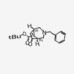 CC(C)(C)OC(=O)N1[C@@H]2CC(=O)[C@H]1CN(Cc1ccccc1)C2